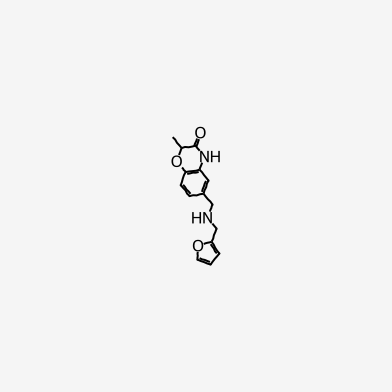 CC1Oc2ccc(CNCc3ccco3)cc2NC1=O